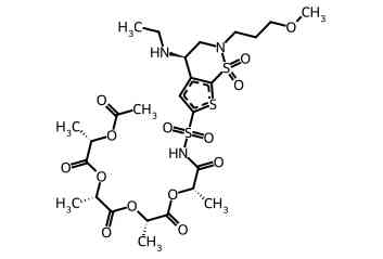 CCN[C@H]1CN(CCCOC)S(=O)(=O)c2sc(S(=O)(=O)NC(=O)[C@H](C)OC(=O)[C@H](C)OC(=O)[C@H](C)OC(=O)[C@H](C)OC(C)=O)cc21